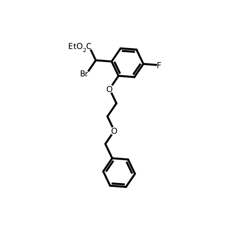 CCOC(=O)C(Br)c1ccc(F)cc1OCCOCc1ccccc1